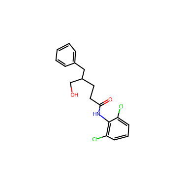 O=C(CCC(CO)Cc1ccccc1)Nc1c(Cl)cccc1Cl